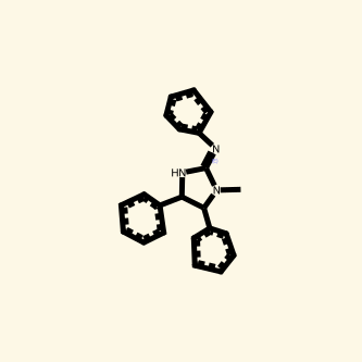 CN1/C(=N/c2ccccc2)NC(c2ccccc2)C1c1ccccc1